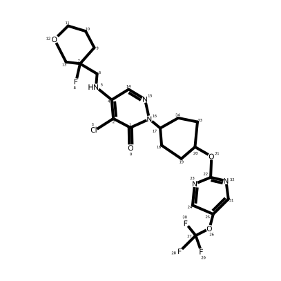 O=c1c(Cl)c(NCC2(F)CCCOC2)cnn1C1CCC(Oc2ncc(OC(F)(F)F)cn2)CC1